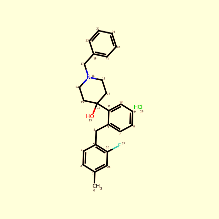 Cc1ccc(Cc2ccccc2C2(O)CCN(Cc3ccccc3)CC2)c(F)c1.Cl